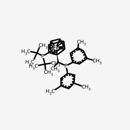 Cc1cc(C)cc(P(c2cc(C)cc(C)c2)C(C)[C@@]23[CH]4[CH]5[CH]6[C]2(P(C(C)(C)C)C(C)(C)C)[Fe]56432789[CH]3[CH]2[CH]7[CH]8[CH]39)c1